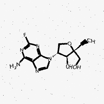 C#C[C@]1(CO)OC[C@@H](n2cnc3c(N)nc(F)nc32)[C@@H]1O